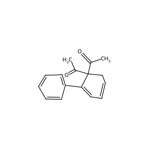 CC(=O)C1(C(C)=O)CC=CC=C1c1ccccc1